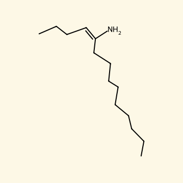 CCC/C=C(/N)CCCCCCCCC